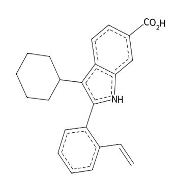 C=Cc1ccccc1-c1[nH]c2cc(C(=O)O)ccc2c1C1CCCCC1